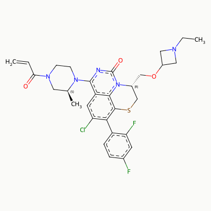 C=CC(=O)N1CCN(c2nc(=O)n3c4c(c(-c5ccc(F)cc5F)c(Cl)cc24)SC[C@H]3COC2CN(CC)C2)[C@@H](C)C1